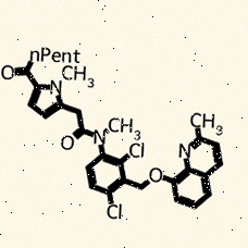 CCCCCC(=O)c1ccc(CC(=O)N(C)c2ccc(Cl)c(COc3cccc4ccc(C)nc34)c2Cl)n1C